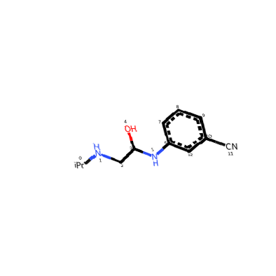 CC(C)NCC(O)Nc1cccc(C#N)c1